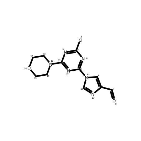 O=Cc1cn(-c2nc(Cl)nc(N3CCOCC3)n2)cn1